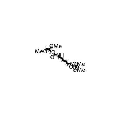 COCC(COC(=O)NCCCCCCOP(=O)(OC)OC)OC